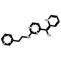 N#C/C(=C1\C=CC=CN1)c1ccnc(NCCc2cccnc2)n1